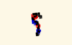 CS(=O)(=O)c1ccc(CN2CCN3CC(COCCCN4CCN(c5ccccc5)CC4)CCC3C2)cc1